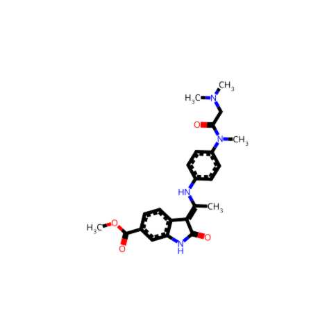 COC(=O)c1ccc2c(c1)NC(=O)C2=C(C)Nc1ccc(N(C)C(=O)CN(C)C)cc1